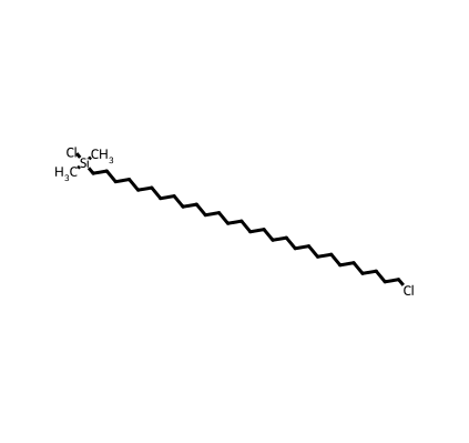 C[Si](C)(Cl)CCCCCCCCCCCCCCCCCCCCCCCCCCCCCl